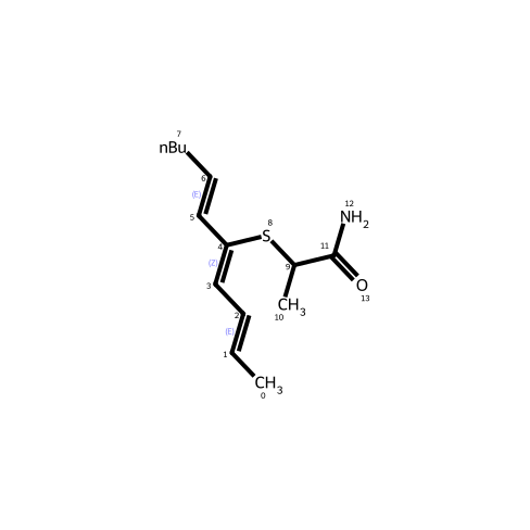 C/C=C/C=C(/C=C/CCCC)SC(C)C(N)=O